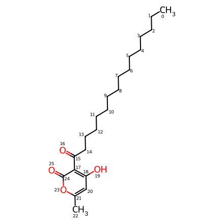 CCCCCCCCCCCCCCCC(=O)c1c(O)cc(C)oc1=O